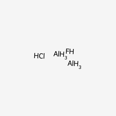 Cl.F.[AlH3].[AlH3]